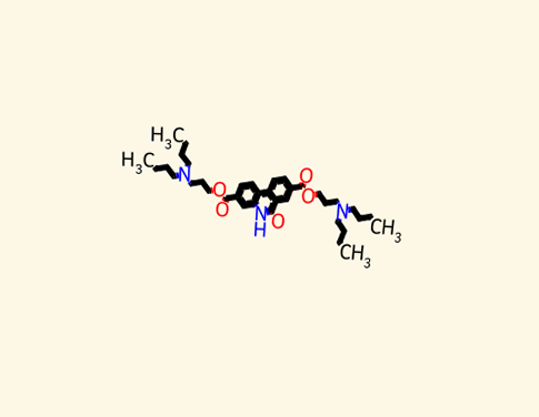 CCCCN(CCCC)CCCOC(=O)c1ccc2c(c1)[nH]c(=O)c1cc(C(=O)OCCCN(CCCC)CCCC)ccc12